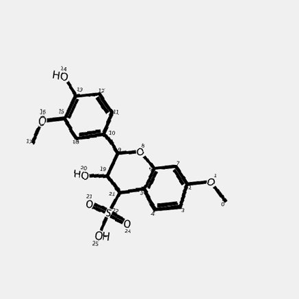 COc1ccc2c(c1)OC(c1ccc(O)c(OC)c1)C(O)C2S(=O)(=O)O